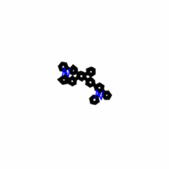 c1ccc(-c2cc(-c3ccc4c5ccccc5n(-c5ccccc5)c4c3)c(-c3ccccc3)cc2-c2ccc(-c3ccc4c5ccccc5n(-c5ccccc5)c4c3)cc2)cc1